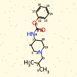 C[C](C)CN1CCC(NC(=O)Oc2ccccc2)CC1